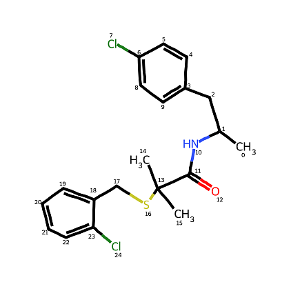 CC(Cc1ccc(Cl)cc1)NC(=O)C(C)(C)SCc1ccccc1Cl